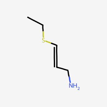 CCSC=CCN